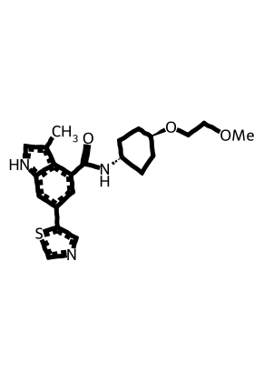 COCCO[C@H]1CC[C@H](NC(=O)c2cc(-c3cncs3)cc3[nH]cc(C)c23)CC1